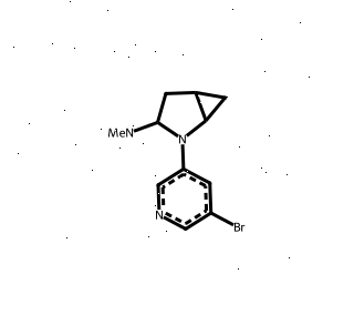 CNC1CC2CC2N1c1cncc(Br)c1